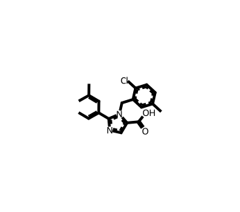 C/C=C(\C=C(C)C)c1ncc(C(=O)O)n1Cc1cc(C)ccc1Cl